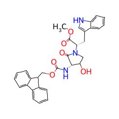 COC(=O)[C@H](Cc1c[nH]c2ccccc12)N1CC(O)[C@H](NC(=O)OCC2c3ccccc3-c3ccccc32)C1=O